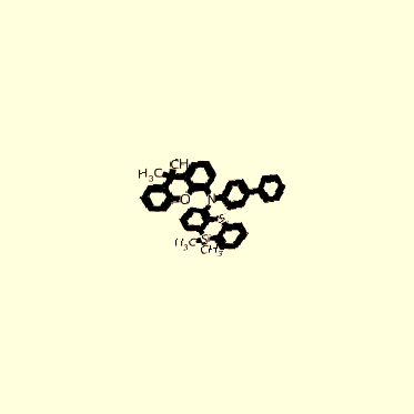 CC1(C)c2ccccc2Oc2c(N(c3ccc(-c4ccccc4)cc3)c3cccc4c3Sc3ccccc3[Si]4(C)C)cccc21